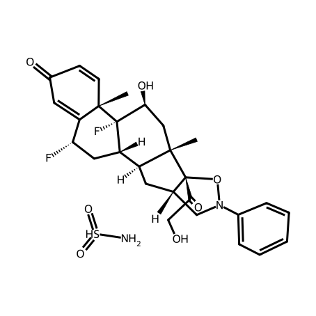 C[C@]12C=CC(=O)C=C1[C@@H](F)C[C@H]1[C@@H]3C[C@H]4CN(c5ccccc5)O[C@@]4(C(=O)CO)[C@@]3(C)C[C@H](O)[C@@]12F.N[SH](=O)=O